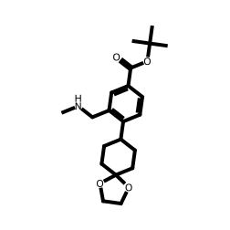 CNCc1cc(C(=O)OC(C)(C)C)ccc1C1CCC2(CC1)OCCO2